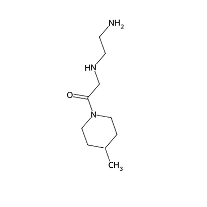 CC1CCN(C(=O)CNCCN)CC1